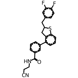 N#CCCNC(=O)c1cccc(-c2cccc3c2CC(Cc2ccc(F)c(F)c2)S3)c1